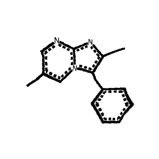 Cc1cnc2nc(C)c(-c3ccccc3)n2c1